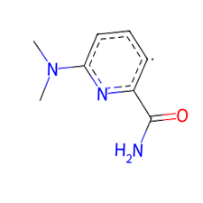 CN(C)c1cc[c]c(C(N)=O)n1